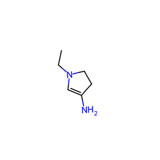 CCN1C=C(N)CC1